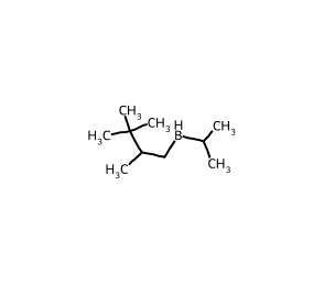 CC(C)BCC(C)C(C)(C)C